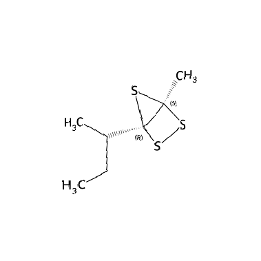 CCC(C)[C@@]12SS[C@]1(C)S2